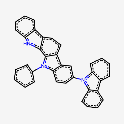 c1ccc(-n2c3ccc(-n4c5ccccc5c5ccccc54)cc3c3ccc4c5ccccc5[nH]c4c32)cc1